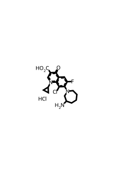 Cl.NC1CCCCN(c2c(F)cc3c(=O)c(C(=O)O)cn(C4CC4)c3c2Cl)C1